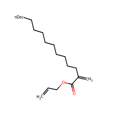 C=CCOC(=O)C(=C)CCCCCCCCCCCCCCCCCCC